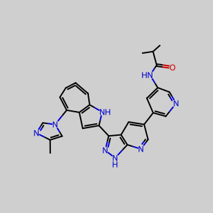 Cc1cn(C2=CC=C=Cc3[nH]c(-c4n[nH]c5ncc(-c6cncc(NC(=O)C(C)C)c6)cc45)cc32)cn1